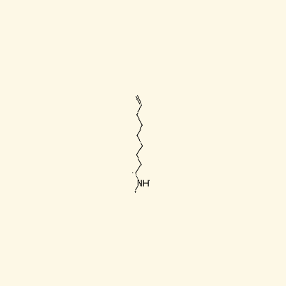 C=CCCCCCC[CH]NC